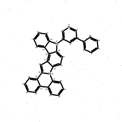 c1ccc(-c2cncc(-n3c4ccccc4c4c5cc6c7ccccc7c7ccccc7n6c5ccc43)c2)cc1